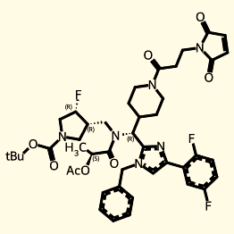 CC(=O)O[C@@H](C)C(=O)N(C[C@@H]1CN(C(=O)OC(C)(C)C)C[C@@H]1F)[C@@H](c1nc(-c2cc(F)ccc2F)cn1Cc1ccccc1)C1CCN(C(=O)CCN2C(=O)C=CC2=O)CC1